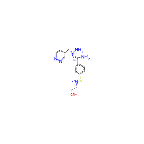 N/C(=N\N(N)Cc1ccnnc1)c1ccc(SNCCO)cc1